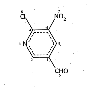 O=Cc1cnc(Cl)c([N+](=O)[O-])c1